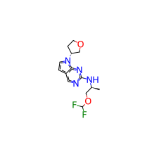 C[C@@H](COC(F)F)Nc1ncc2ccn([C@@H]3CCOC3)c2n1